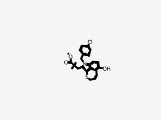 COC(=O)C(C)(C)Cc1c2c3c(c(O)ccc3n1Cc1ccc(Cl)cc1)C=CCS2